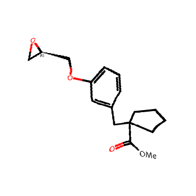 COC(=O)C1(Cc2cccc(OC[C@H]3CO3)c2)CCCC1